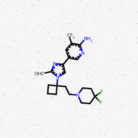 Nc1ncc(-c2cn(C3(CCN4CCC(F)(F)CC4)CCC3)c(C=O)n2)cc1C(F)(F)F